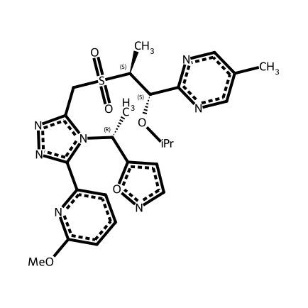 COc1cccc(-c2nnc(CS(=O)(=O)[C@@H](C)[C@@H](OC(C)C)c3ncc(C)cn3)n2[C@H](C)c2ccno2)n1